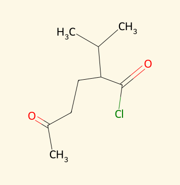 CC(=O)CCC(C(=O)Cl)C(C)C